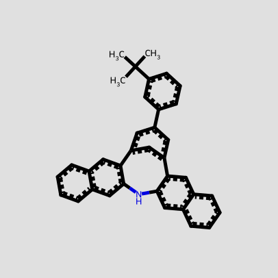 CC(C)(C)c1cccc(-c2cc3cc(c2)-c2cc4ccccc4cc2Nc2cc4ccccc4cc2-3)c1